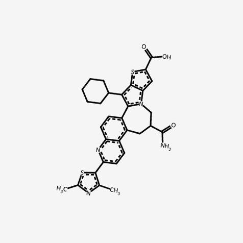 Cc1nc(C)c(-c2ccc3c4c(ccc3n2)-c2c(C3CCCCC3)c3sc(C(=O)O)cc3n2CC(C(N)=O)C4)s1